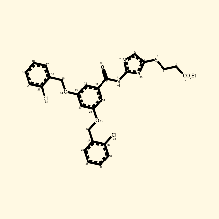 CCOC(=O)CCSc1cnc(NC(=O)c2cc(OCc3ccccc3Cl)cc(OCc3ccccc3Cl)c2)s1